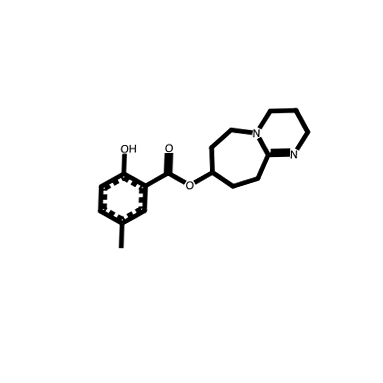 Cc1ccc(O)c(C(=O)OC2CCC3=NCCCN3CC2)c1